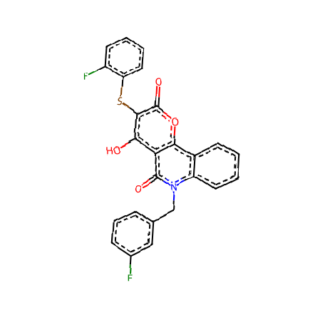 O=c1oc2c(c(O)c1Sc1ccccc1F)c(=O)n(Cc1cccc(F)c1)c1ccccc21